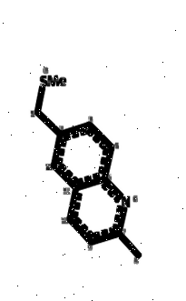 CSCc1ccc2nc(C)ccc2c1